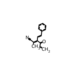 C=CC(=O)C(C=Cc1ccccc1)=C(C)C#N